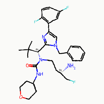 CC(C)(C)[C@H](c1nc(-c2cc(F)ccc2F)cn1Cc1ccccc1)N(CC[C@H](N)CF)C(=O)NC1CCOCC1